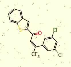 O=C(C=C(c1cc(Cl)cc(Cl)c1)C(F)(F)F)c1cc2ccccc2s1